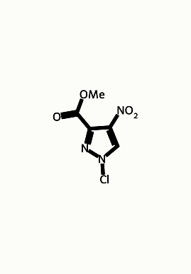 COC(=O)c1nn(Cl)cc1[N+](=O)[O-]